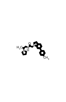 Cc1ccc(-c2ccc3ccn(CC(=O)NCC(C)N4CCCC4)c3c2)cc1